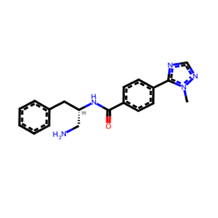 Cn1ncnc1-c1ccc(C(=O)N[C@H](CN)Cc2ccccc2)cc1